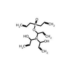 C=CCP(=O)(CC=C)OC(C=C)N(C(O)C=C)C(O)C=C